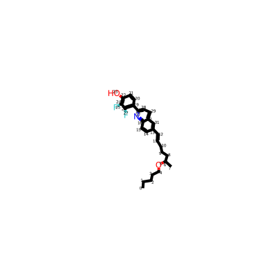 CCCCCOC(C)CCCC=Cc1ccc2nc(-c3ccc(O)c(F)c3F)ccc2c1